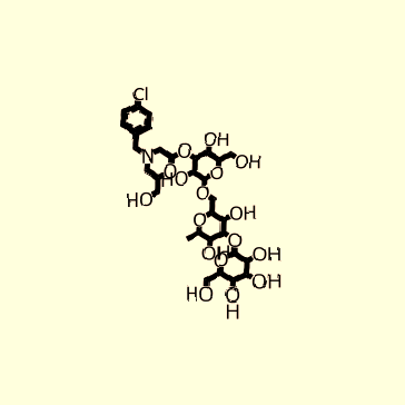 CC1OC(COC2OC(CO)C(O)C(OC3CN(Cc4ccc(Cl)cc4)CC(CO)O3)C2O)C(O)C(OC2OC(CO)C(O)C(O)C2O)C1O